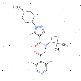 CC1(C)CC[C@@H]1N(CC(=O)c1c(Cl)cncc1Cl)C(=O)c1cnn([C@H]2CC[C@@H](C(=O)O)CC2)c1C(F)(F)F